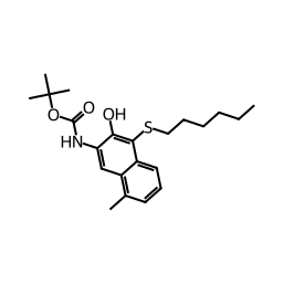 CCCCCCSc1c(O)c(NC(=O)OC(C)(C)C)cc2c(C)cccc12